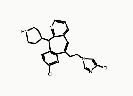 Cc1cn(CCC2=Cc3cccnc3C(C3CCNCC3)c3ccc(Cl)cc32)cn1